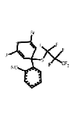 N#Cc1ccccc1C1(SC(F)(F)C(F)(F)C(F)(F)F)C=C(Br)[CH]C(Br)=C1